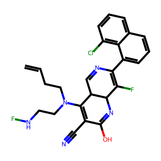 C=CCCN(CCNF)C1=C(C#N)C(O)=NC2C(F)=C(c3cccc4cccc(Cl)c34)N=CC12